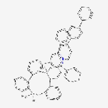 CC1(C)Cc2ccccc2C2C=CC(c3ccc(-c4ccc(-c5c#cccc5)cc4)cc3)=CC2(C)c2c(-c3cc(C4=CCCC=C4)nc(-c4ccccc4)c3)cccc2-c2ccccc21